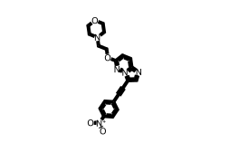 O=[N+]([O-])c1ccc(C#Cc2cnc3ccc(OCCN4CCOCC4)nn23)cc1